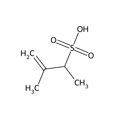 C=C(C)C(C)S(=O)(=O)O